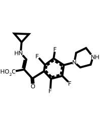 O=C(O)C(=CNC1CC1)C(=O)c1c(F)c(F)c(N2CCNCC2)c(F)c1F